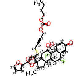 CCCCOC(=O)OCC#CCSC(=O)[C@@]1(OC(=O)c2ccco2)[C@H](C)C[C@H]2[C@@H]3C[C@H](F)C4=CC(=O)C=C[C@]4(C)[C@@]3(F)[C@@H](O)C[C@@]21C